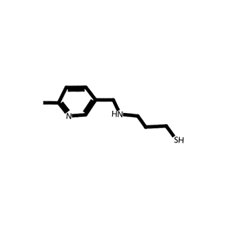 Cc1ccc(CNCCCS)cn1